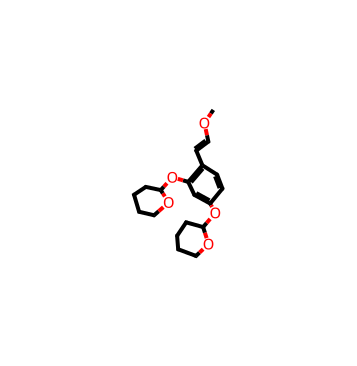 COC=Cc1ccc(OC2CCCCO2)cc1OC1CCCCO1